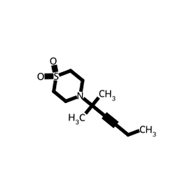 CCC#CC(C)(C)N1CCS(=O)(=O)CC1